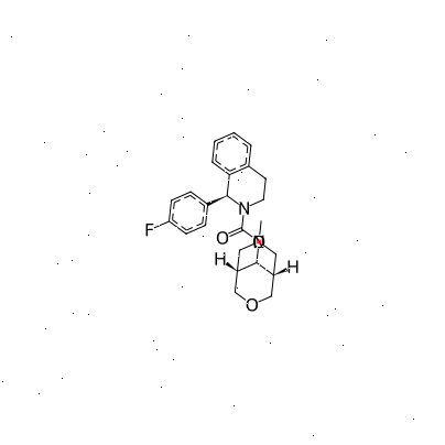 CN1C[C@H]2COC[C@@H](C1)C2OC(=O)N1CCc2ccccc2[C@@H]1c1ccc(F)cc1